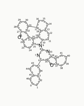 c1ccc2cc(-c3nc(-n4c5ccc6cccc7c6c5c5c6c(ccc54)oc4cccc-7c46)nc4c3oc3ccccc34)ccc2c1